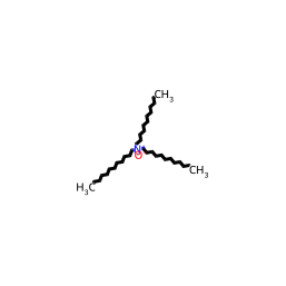 CCCCCCCCCCCC[N+]([O-])(CCCCCCCCCCCC)CCCCCCCCCCCC